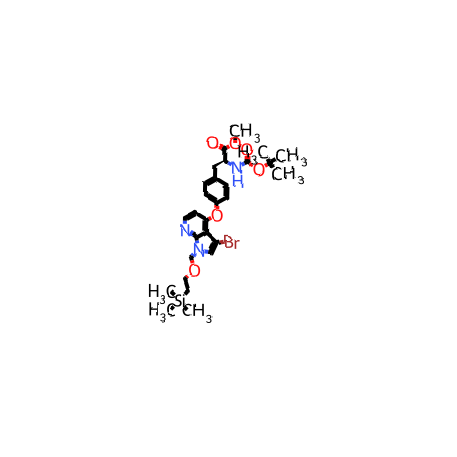 COC(=O)[C@H](Cc1ccc(Oc2ccnc3c2c(Br)cn3COCC[Si](C)(C)C)cc1)NC(=O)OC(C)(C)C